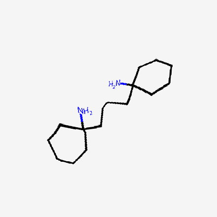 NC1(CCCC2(N)CCCCC2)CCCCC1